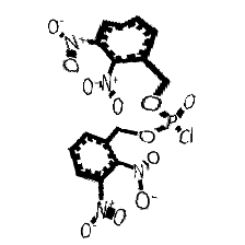 O=[N+]([O-])c1cccc(COP(=O)(Cl)OCc2cccc([N+](=O)[O-])c2[N+](=O)[O-])c1[N+](=O)[O-]